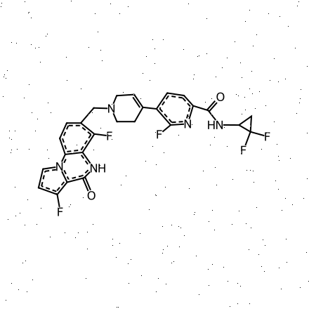 O=C(NC1CC1(F)F)c1ccc(C2=CCN(Cc3ccc4c([nH]c(=O)c5c(F)ccn54)c3F)CC2)c(F)n1